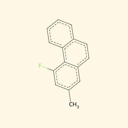 Cc1cc(F)c2c(ccc3ccccc32)c1